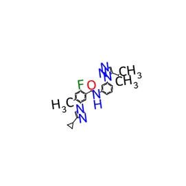 Cc1cc(F)c(C(=O)Nc2cccc(-n3nncc3C(C)C)c2)cc1-n1cnc(C2CC2)c1